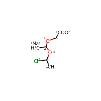 CC(Cl)OC(C)OCC(=O)[O-].[Na+]